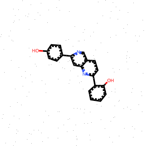 Oc1ccc(-c2cc3nc(-c4ccccc4O)ccc3cn2)cc1